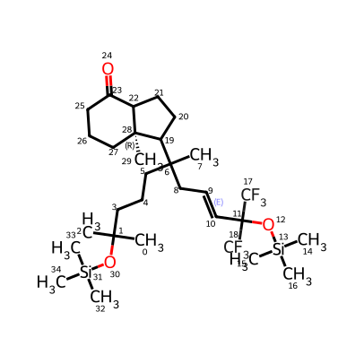 CC(C)(CCCC(C)(C/C=C/C(O[Si](C)(C)C)(C(F)(F)F)C(F)(F)F)C1CCC2C(=O)CCC[C@@]21C)O[Si](C)(C)C